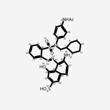 CC(=O)Nc1ccc(N(CC2CCCCC2)S(=O)(=O)c2ccccc2/N=N/c2c(N)ccc3cc(S(=O)(=O)O)cc(O)c23)cc1